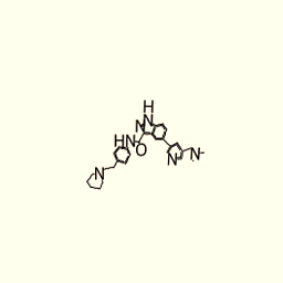 CN(C)Cc1cncc(-c2ccc3[nH]nc(C(=O)Nc4ccc(CCN5CCCCC5)cc4)c3c2)c1